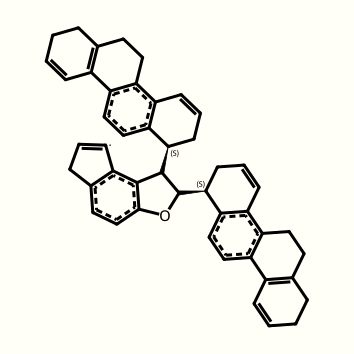 [C]1=CCc2ccc3c(c21)C([C@@H]1CC=Cc2c1ccc1c2CCC2=C1C=CCC2)C([C@H]1CC=Cc2c1ccc1c2CCC2=C1C=CCC2)O3